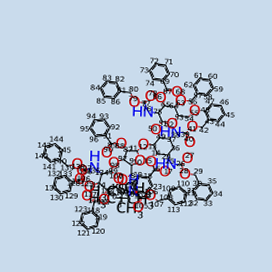 CC(C)(C)[Si](C)(C)OCC1OC(OC2C(OC(=O)c3ccccc3)C(NC(=O)OCc3ccccc3)CC(NC(=O)OCc3ccccc3)C2OC2OC3COC(c4ccccc4)OC3C(OC(=O)c3ccccc3)C2NC(=O)OCc2ccccc2)C(OC(=O)c2ccccc2)C1OC1OC(CNC(=O)OCc2ccccc2)C(OC(=O)c2ccccc2)C(OC(=O)c2ccccc2)C1NC(=O)OCc1ccccc1